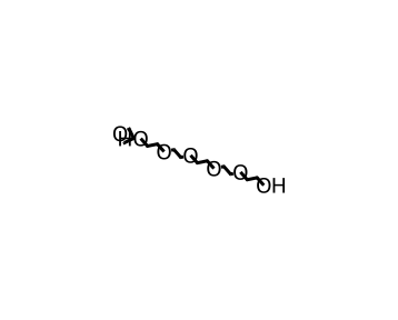 C1COC1.OCCOCCOCCOCCOCCO